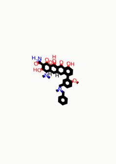 COc1ccc(CN(C)Cc2ccccc2)cc1-c1ccc(O)c2c1C[C@H]1C[C@H]3[C@H](N(C)C)C(O)=C(C(N)=O)C(=O)[C@@]3(O)C(O)=C1C2=O